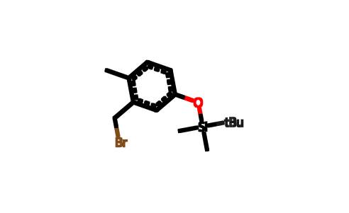 Cc1ccc(O[Si](C)(C)C(C)(C)C)cc1CBr